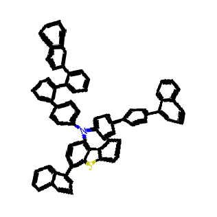 c1ccc(-c2ccccc2-c2ccc3ccccc3c2)c(-c2ccc(N(c3ccc(-c4ccc(-c5cccc6ccccc56)cc4)cc3)c3ccc(-c4cccc5ccccc45)c4sc5ccccc5c34)cc2)c1